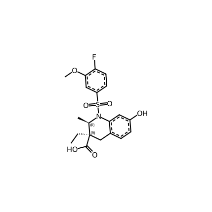 CC[C@@]1(C(=O)O)Cc2ccc(O)cc2N(S(=O)(=O)c2ccc(F)c(OC)c2)[C@@H]1C